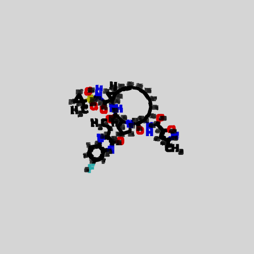 CCc1nc2ccc(F)cc2nc1O[C@@H]1C[C@H]2C(=O)N[C@]3(C(=O)NS(=O)(=O)C4(C)CC4)C[C@H]3C=CCCCCC[C@H](NC(=O)c3cc(C)no3)C(=O)N2C1